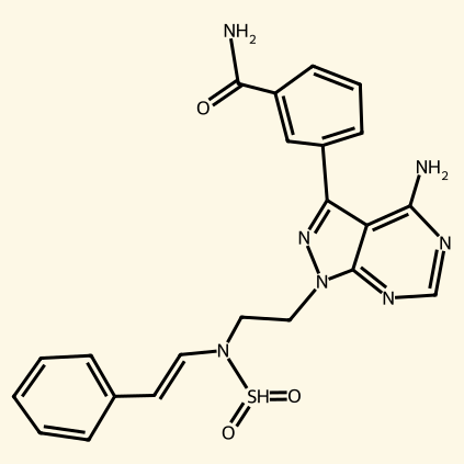 NC(=O)c1cccc(-c2nn(CCN(C=Cc3ccccc3)[SH](=O)=O)c3ncnc(N)c23)c1